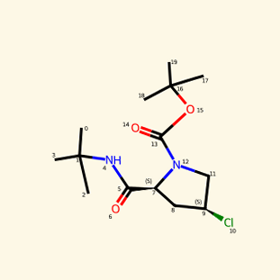 CC(C)(C)NC(=O)[C@@H]1C[C@H](Cl)CN1C(=O)OC(C)(C)C